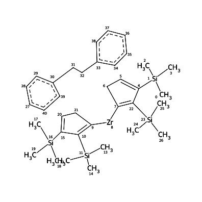 C[Si](C)(C)C1=CC[C]([Zr][C]2=C([Si](C)(C)C)C([Si](C)(C)C)=CC2)=C1[Si](C)(C)C.c1ccc(CCc2ccccc2)cc1